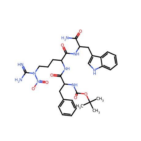 CC(C)(C)OC(=O)NC(Cc1ccccc1)C(=O)NC(CCCN(C(=N)N)[N+](=O)[O-])C(=O)NC(Cc1c[nH]c2ccccc12)C(N)=O